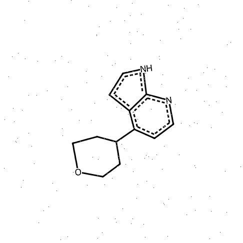 c1cc(C2CCOCC2)c2cc[nH]c2n1